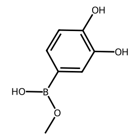 COB(O)c1ccc(O)c(O)c1